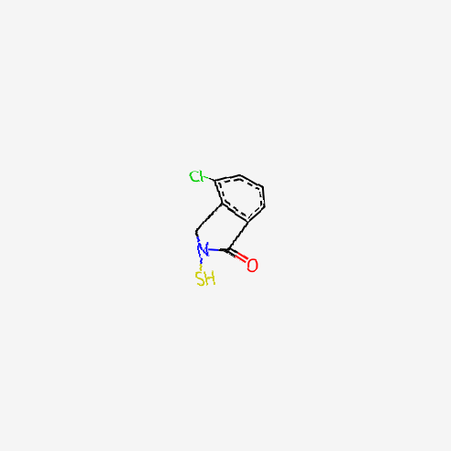 O=C1c2cccc(Cl)c2CN1S